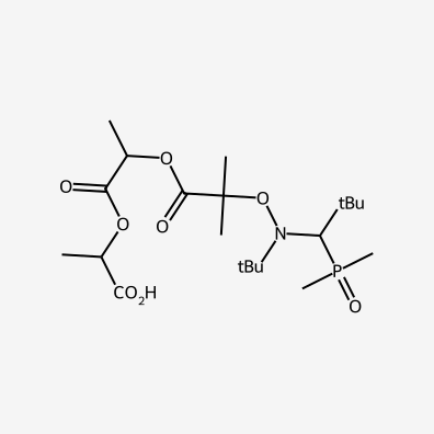 CC(OC(=O)C(C)OC(=O)C(C)(C)ON(C(C(C)(C)C)P(C)(C)=O)C(C)(C)C)C(=O)O